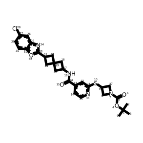 CC(C)(C)OC(=O)N1CC(Sc2cc(C(=O)NC3CC4(C3)CC(c3nc5cc(Cl)ccc5o3)C4)ccn2)C1